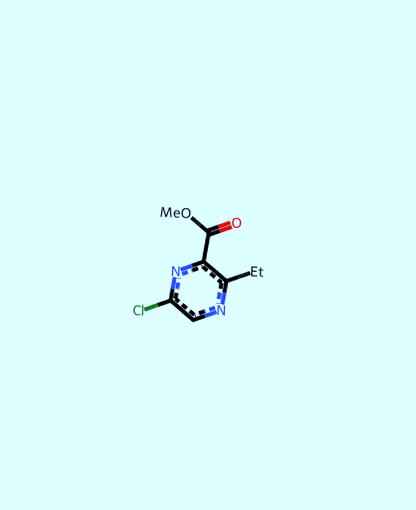 CCc1ncc(Cl)nc1C(=O)OC